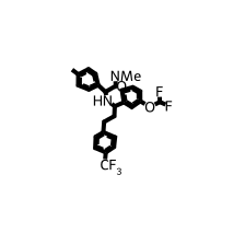 CNC(=O)C(NC(CCc1ccc(C(F)(F)F)cc1)c1cccc(OC(F)F)c1)c1ccc(C)cc1